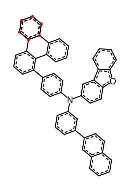 c1ccc(-c2ccccc2-c2c(-c3ccccc3)cccc2-c2ccc(N(c3cccc(-c4ccc5ccccc5c4)c3)c3ccc4oc5ccccc5c4c3)cc2)cc1